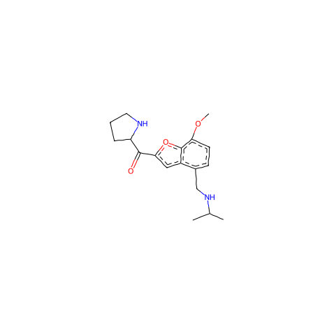 COc1ccc(CNC(C)C)c2cc(C(=O)C3CCCN3)oc12